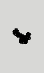 COC(=O)c1nnn(Cc2ccc(OC)cc2)c1Sc1ccc(-c2ccc(OC(F)(F)F)cc2)cc1